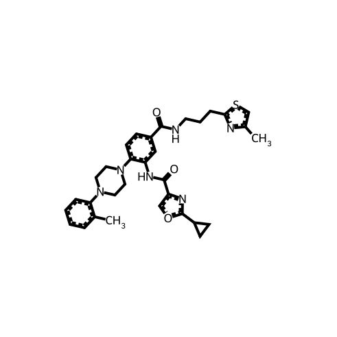 Cc1csc(CCCNC(=O)c2ccc(N3CCN(c4ccccc4C)CC3)c(NC(=O)c3coc(C4CC4)n3)c2)n1